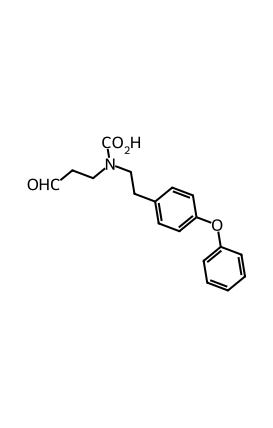 O=CCCN(CCc1ccc(Oc2ccccc2)cc1)C(=O)O